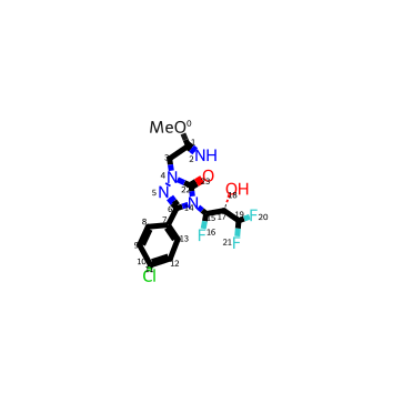 COC(=N)Cn1nc(-c2ccc(Cl)cc2)n(C(F)[C@H](O)C(F)F)c1=O